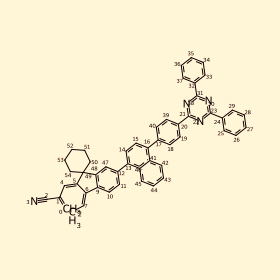 C=C(C#N)/C=C1\C(=C/C)c2ccc(-c3ccc(-c4ccc(-c5nc(-c6ccccc6)nc(-c6ccccc6)n5)cc4)c4ccccc34)cc2C12CCCCC2